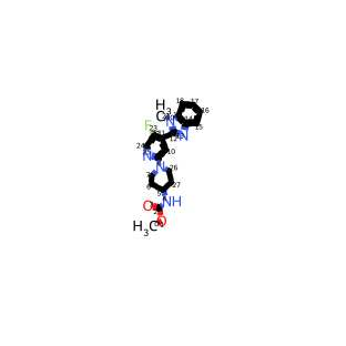 COC(=O)NC1CCN(c2cc(-c3nc4ccccc4n3C)c(F)cn2)CC1